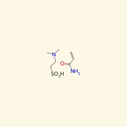 C=CC(N)=O.CN(C)CCS(=O)(=O)O